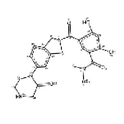 CCCCN(C)C(=O)c1cc(C(=O)N2Cc3ccc(N4CCNCC4=O)cc3C2)c(O)cc1O